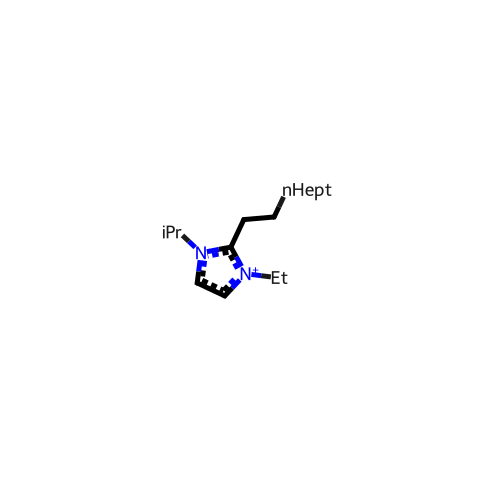 CCCCCCCCCc1n(C(C)C)cc[n+]1CC